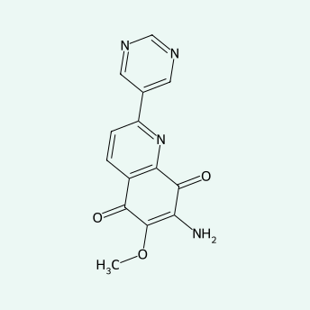 COC1=C(N)C(=O)c2nc(-c3cncnc3)ccc2C1=O